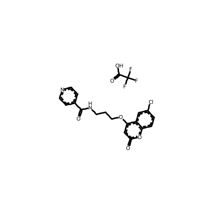 O=C(NCCCOc1cc(=O)oc2ccc(Cl)cc12)c1ccncc1.O=C(O)C(F)(F)F